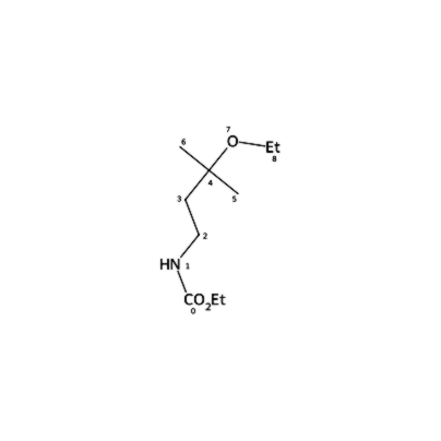 CCOC(=O)NCCC(C)(C)OCC